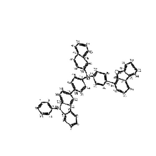 c1ccc(-n2c3ccccc3c3cc(-c4ccc(N(c5ccc(-c6cccc7c6oc6ccccc67)cc5)c5ccc6ccccc6c5)cc4)ccc32)cc1